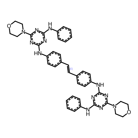 C(=C\c1ccc(Nc2nc(Nc3ccccc3)nc(N3CCOCC3)n2)cc1)/c1ccc(Nc2nc(Nc3ccccc3)nc(N3CCOCC3)n2)cc1